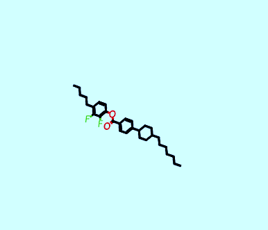 CCCCCCCC1CCC(c2ccc(C(=O)Oc3ccc(CCCCC)c(F)c3F)cc2)CC1